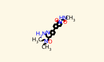 CCCN(CCC)C(=O)C1=Cc2ccc(-c3ccc4c(=O)n(CC(=O)NC)ccc4c3)cc2N=C(N)C1